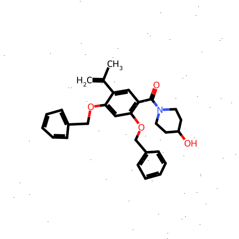 C=C(C)c1cc(C(=O)N2CCC(O)CC2)c(OCc2ccccc2)cc1OCc1ccccc1